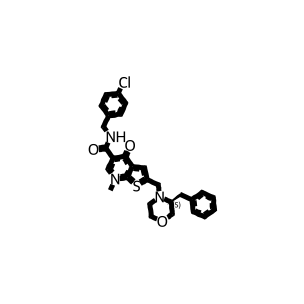 Cn1cc(C(=O)NCc2ccc(Cl)cc2)c(=O)c2cc(CN3CCOC[C@@H]3Cc3ccccc3)sc21